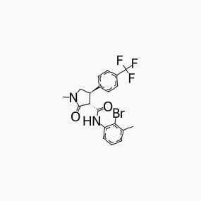 Cc1cccc(NC(=O)[C@@H]2C(=O)N(C)C[C@H]2c2ccc(C(F)(F)F)cc2)c1Br